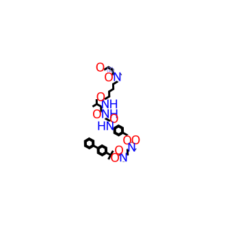 CC(C)C(NC(=O)CCCCCN(C)C(=O)/C=C\C=O)C(=O)NCC(=O)Nc1ccc(COC(=O)N(C)CCN(C)C(=O)OC(C)(C)c2ccc(-c3ccccc3)cc2)cc1